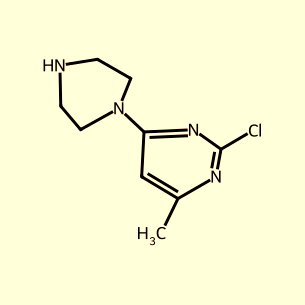 Cc1cc(N2CCNCC2)nc(Cl)n1